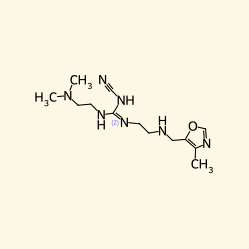 Cc1ncoc1CNCC/N=C(\NC#N)NCCN(C)C